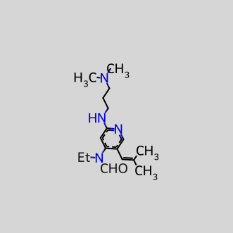 CCN(C=O)c1cc(NCCCN(C)C)ncc1C=C(C)C